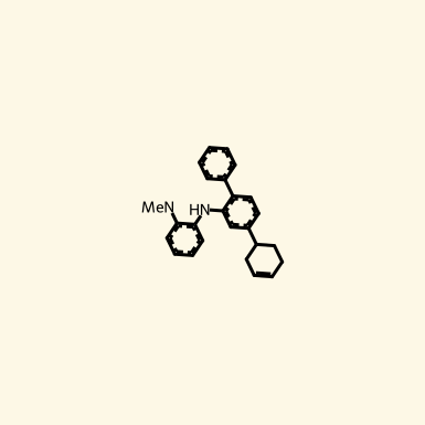 CNc1ccccc1Nc1cc(C2CC=CCC2)ccc1-c1ccccc1